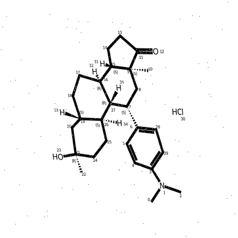 CN(C)c1ccc([C@H]2C[C@]3(C)C(=O)CC[C@H]3[C@@H]3CC[C@H]4C[C@](C)(O)CC[C@@H]4[C@H]32)cc1.Cl